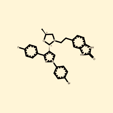 C[C@H]1CN(CCc2ccc3[nH]c(=O)[nH]c3c2)[C@H](c2cn(-c3ccc(Br)cc3)nc2-c2ccc(F)cc2)O1